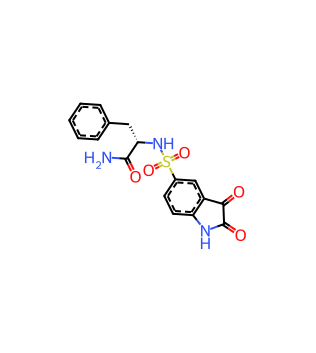 NC(=O)[C@H](Cc1ccccc1)NS(=O)(=O)c1ccc2c(c1)C(=O)C(=O)N2